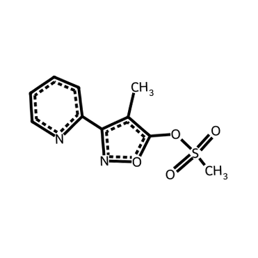 Cc1c(-c2ccccn2)noc1OS(C)(=O)=O